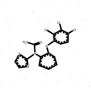 NC(=O)N(c1nccs1)c1ccccc1Oc1ccc(Cl)c(Cl)c1Cl